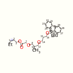 CC/C=C\COC(=O)COCC(C)COCCCO[Si](c1ccccc1)(c1ccccc1)C(C)(C)C